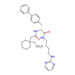 O=C(O)CC1(CC(=O)N[C@H](Cc2ccc(-c3ccccc3)cc2)C(=O)NCCCCNc2ncccn2)CCCCC1